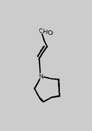 O=[C]C=CN1CCCC1